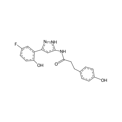 O=C(CCc1ccc(O)cc1)Nc1cc(-c2cc(F)ccc2O)n[nH]1